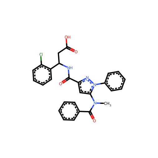 CN(C(=O)c1ccccc1)c1cc(C(=O)NC(CC(=O)O)c2ccccc2Cl)nn1-c1ccccc1